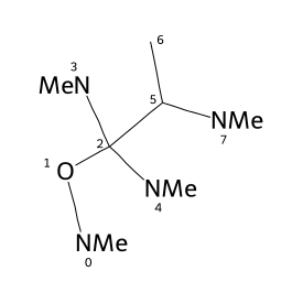 [CH2]NOC(NC)(NC)C(C)NC